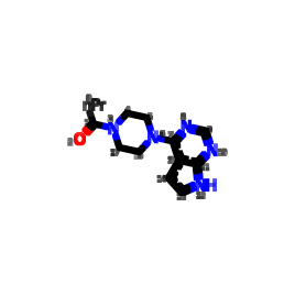 CCCC(=O)N1CCN(c2ncnc3[nH]ccc23)CC1